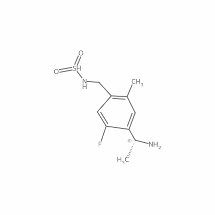 Cc1cc([C@@H](C)N)c(F)cc1CN[SH](=O)=O